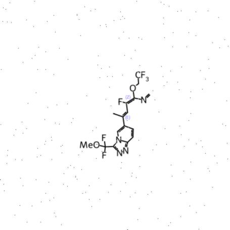 C=N/C(OCC(F)(F)F)=C(F)\C=C(/C)c1ccc2nnc(C(F)(F)OC)n2c1